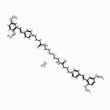 COc1ccc(OC)c(/C=C/c2cc[n+](CCCC(=O)NCCSSCCNC(=O)CCC[n+]3ccc(/C=C/c4cc(OC)ccc4OC)cc3)cc2)c1.[Cl-].[Cl-]